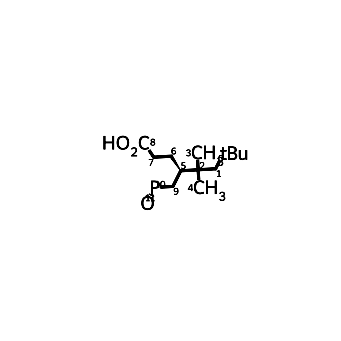 CC(C)(C)CC(C)(C)[C@H](CCC(=O)O)CP=O